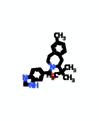 Cc1ccc2c(c1)CCN(C(=O)c1ccc3nc[nH]c3c1)C(C(C)(C)C)C2